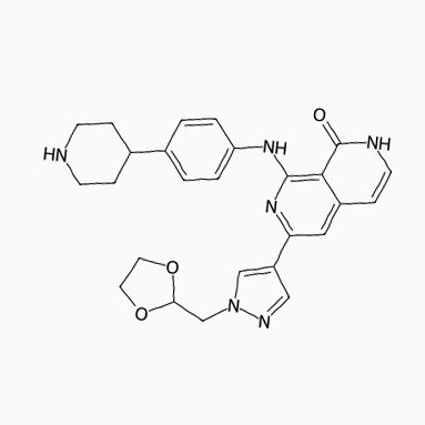 O=c1[nH]ccc2cc(-c3cnn(CC4OCCO4)c3)nc(Nc3ccc(C4CCNCC4)cc3)c12